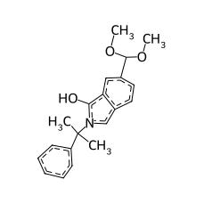 COC(OC)c1ccc2cn(C(C)(C)c3ccccc3)c(O)c2c1